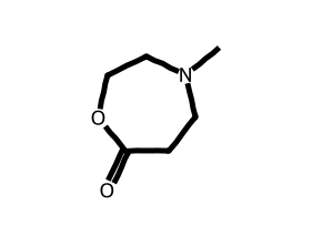 CN1CCOC(=O)CC1